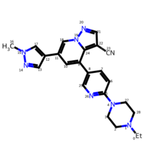 CCN1CCN(c2ccc(-c3cc(-c4cnn(C)c4)cn4ncc(C#N)c34)cn2)CC1